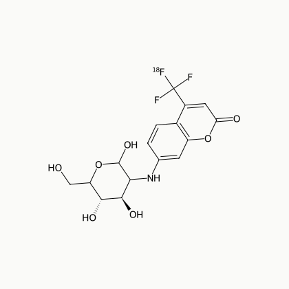 O=c1cc(C(F)(F)[18F])c2ccc(NC3C(O)OC(CO)[C@@H](O)[C@@H]3O)cc2o1